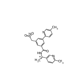 Cc1ccc(-c2cc(C[SH](=O)=O)cc(C(=O)N[C@H](C)c3ccc(C(F)(F)F)nc3)c2)nc1